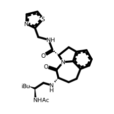 CC[C@H](C)[C@@H](CN[C@H]1CCc2cccc3c2N(C1=O)[C@H](C(=O)NCc1nccs1)C3)NC(C)=O